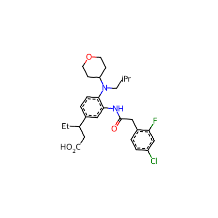 CCC(CC(=O)O)c1ccc(N(CC(C)C)C2CCOCC2)c(NC(=O)Cc2ccc(Cl)cc2F)c1